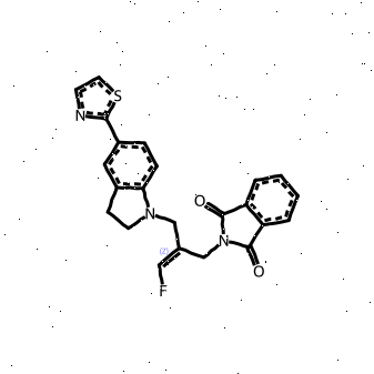 O=C1c2ccccc2C(=O)N1C/C(=C\F)CN1CCc2cc(-c3nccs3)ccc21